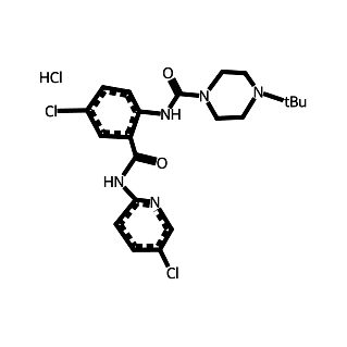 CC(C)(C)N1CCN(C(=O)Nc2ccc(Cl)cc2C(=O)Nc2ccc(Cl)cn2)CC1.Cl